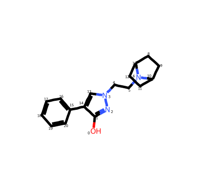 Oc1nn(CCN2C3CCC2CC3)cc1-c1ccccc1